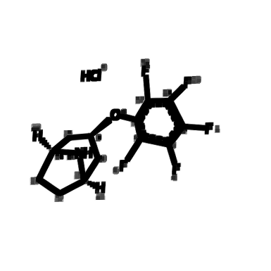 Cl.Fc1c(F)c(F)c(O[C@H]2C[C@H]3CC[C@@H](C2)N3)c(F)c1F